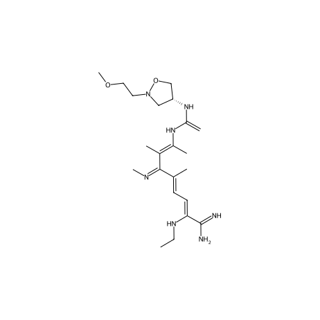 C=C(N/C(C)=C(C)/C(=N\C)C(/C)=C/C=C(\NCC)C(=N)N)N[C@H]1CON(CCOC)C1